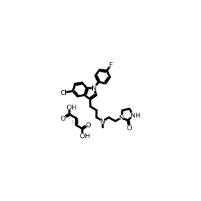 CN(CCCc1cn(-c2ccc(F)cc2)c2ccc(Cl)cc12)CCN1CCNC1=O.O=C(O)/C=C/C(=O)O